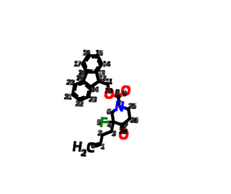 C=CCCC1(F)CN(C(=O)OCC2c3ccccc3-c3ccccc32)CCC1=O